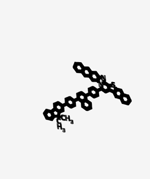 CC1(C)c2ccccc2-c2ccc(-c3ccc(-c4ccc(-c5ccc(-c6cc7c8cc9ccccc9cc8sc7c7nc8cc9cc%10ccccc%10cc9cc8n67)cc5)c5ccccc45)cc3)cc21